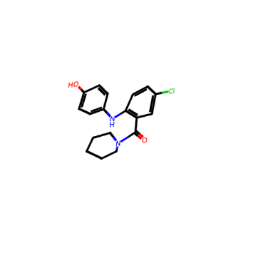 O=C(c1cc(Cl)ccc1Nc1ccc(O)cc1)N1CCCCC1